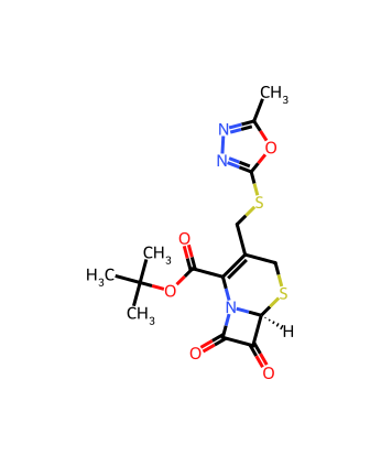 Cc1nnc(SCC2=C(C(=O)OC(C)(C)C)N3C(=O)C(=O)[C@@H]3SC2)o1